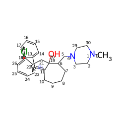 CN1CCN(CC2CCCC/C(=C/c3ccccc3)C2(O)Cc2ccccc2Cl)CC1